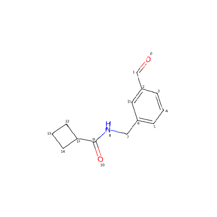 O=Cc1cccc(CNC(=O)C2CCC2)c1